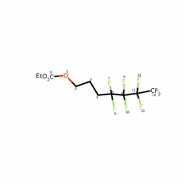 CCOC(=O)OCCCC(F)(F)C(F)(F)C(F)(F)C(F)(F)F